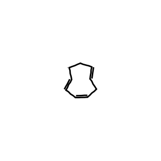 [CH]1/C=C/C=C\C/C=C/C1